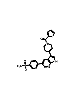 NS(=O)(=O)c1ccc(-c2cnc3[nH]cc(C4=CCN(C(=O)c5cccs5)CC4)c3c2)cc1